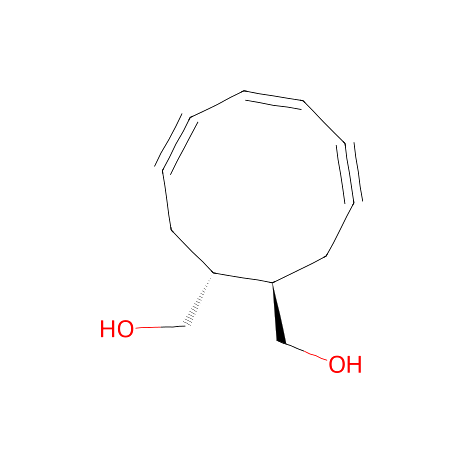 OC[C@@H]1CC#C/C=C\C#CC[C@H]1CO